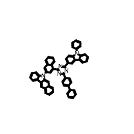 c1ccc(-c2ccc(-c3nc(-c4ccc5c(c4)c4ccccc4n5-c4ccccc4)nc(-c4cc(-n5c6ccccc6c6cc7ccccc7cc65)cc5ccccc45)n3)cc2)cc1